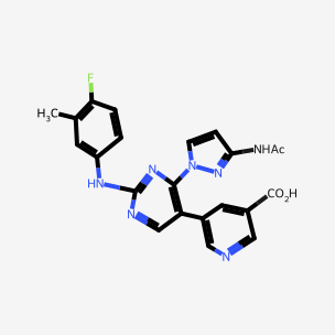 CC(=O)Nc1ccn(-c2nc(Nc3ccc(F)c(C)c3)ncc2-c2cncc(C(=O)O)c2)n1